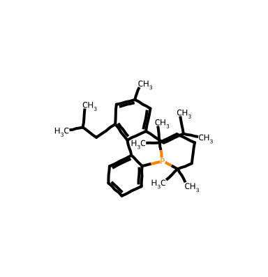 Cc1cc(CC(C)C)c(-c2ccccc2P2C(C)(C)CCCC2(C)C)c(CC(C)C)c1